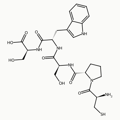 N[C@@H](CS)C(=O)N1CCC[C@H]1C(=O)N[C@@H](CO)C(=O)N[C@@H](Cc1c[nH]c2ccccc12)C(=O)N[C@@H](CO)C(=O)O